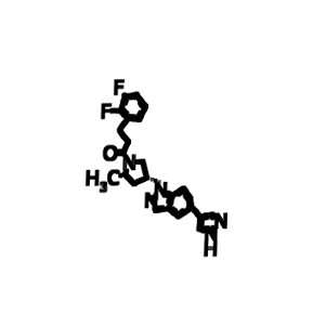 C[C@@H]1C[C@@H](Cn2ncc3cc(-c4cn[nH]c4)ccc32)CN1C(=O)CCc1cccc(F)c1F